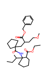 CCOC(=O)C1CCCCC1(NC(=O)C1(CC(CCOC)C(=O)OCc2ccccc2)CCCC1)C(C)CC